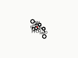 O=C(NC1CCCCCC1)c1cccc(N(C(=O)c2c(Cl)cc(C(F)(F)F)c(C(F)(F)F)c2Cl)c2cccc(C(=O)NC3CCCCCC3)c2)c1